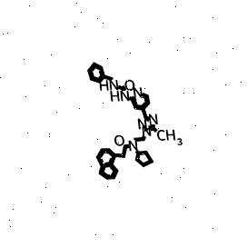 Cc1nc(-c2ccnc(NC(=O)NCc3ccccc3)c2)nn1CCN(C(=O)Cc1cccc2ccccc12)C1CCCC1